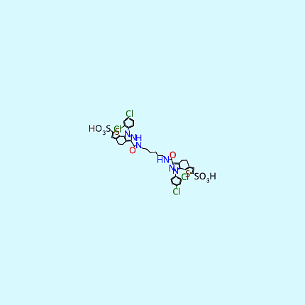 O=C(NCCCCCCNC(=O)c1nn(-c2ccc(Cl)cc2Cl)c2c1CCc1cc(S(=O)(=O)O)sc1-2)c1nn(-c2ccc(Cl)cc2Cl)c2c1CCc1cc(S(=O)(=O)O)sc1-2